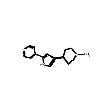 CN1CCC(c2c[nH]c(-c3ccncc3)c2)CC1